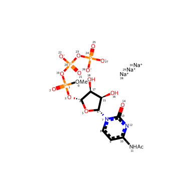 COP(=O)(O[C@H]1O[C@@H](n2ccc(NC(C)=O)nc2=O)[C@H](O)[C@@H]1O)OP(=O)([O-])OP(=O)([O-])[O-].[Na+].[Na+].[Na+]